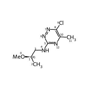 CO[C@H](C)CNc1nnc(Cl)c(C)n1